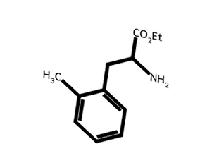 CCOC(=O)C(N)Cc1ccccc1C